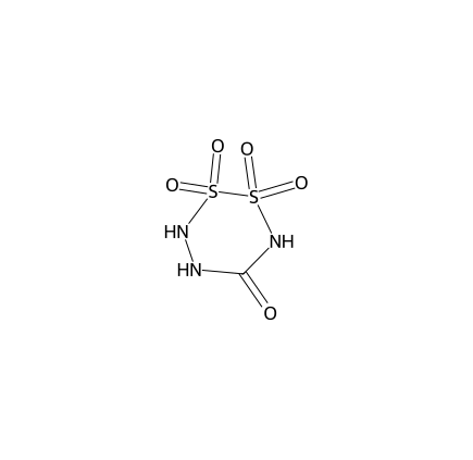 O=C1NNS(=O)(=O)S(=O)(=O)N1